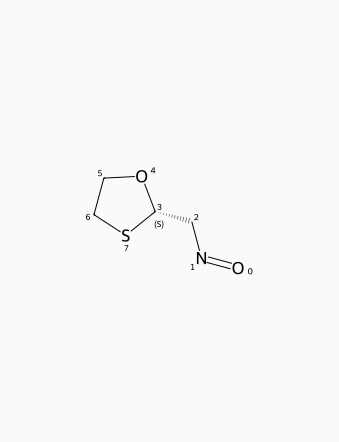 O=NC[C@H]1OCCS1